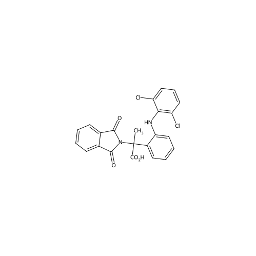 CC(C(=O)O)(c1ccccc1Nc1c(Cl)cccc1Cl)N1C(=O)c2ccccc2C1=O